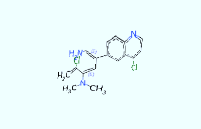 C=C(Cl)/C(=C\C(=C/N)c1ccc2nccc(Cl)c2c1)N(C)C